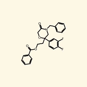 O=C(OCCC1(c2ccc(F)c(F)c2)CN(Cc2ccccc2)C(=O)CO1)c1ccccc1